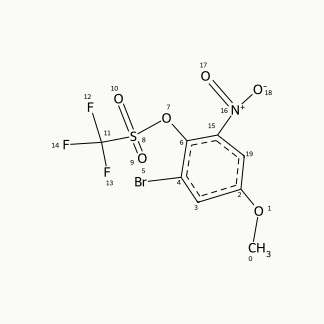 COc1cc(Br)c(OS(=O)(=O)C(F)(F)F)c([N+](=O)[O-])c1